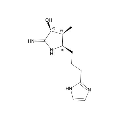 C[C@@H]1[C@H](O)C(=N)N[C@@H]1CCCc1ncc[nH]1